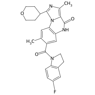 Cc1cc2c(cc1C(=O)N1CCc3cc(F)ccc31)[nH]c(=O)c1c(C)nc(C3CCOCC3)n12